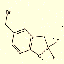 FC1(F)Cc2cc(CBr)ccc2O1